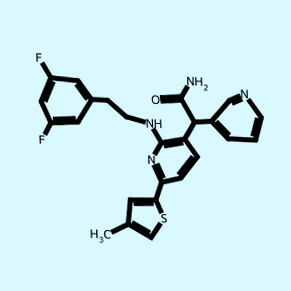 Cc1csc(-c2ccc(C(C(N)=O)c3cccnc3)c(NCCc3cc(F)cc(F)c3)n2)c1